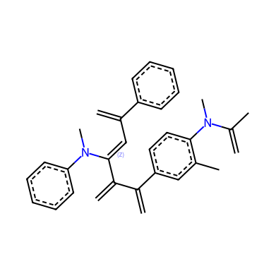 C=C(C(=C)c1ccc(N(C)C(=C)C)c(C)c1)/C(=C/C(=C)c1ccccc1)N(C)c1ccccc1